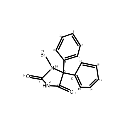 O=C1NC(=O)C(c2ccccc2)(c2ccccc2)N1Br